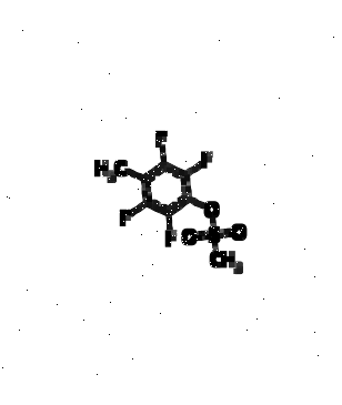 Cc1c(F)c(F)c(OS(C)(=O)=O)c(F)c1F